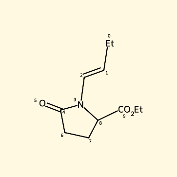 CCC=CN1C(=O)CCC1C(=O)OCC